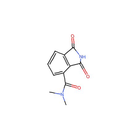 CN(C)C(=O)c1cccc2c1C(=O)NC2=O